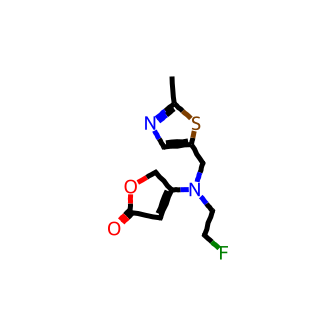 Cc1ncc(CN(CCF)C2=CC(=O)OC2)s1